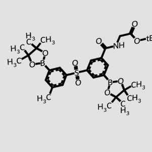 Cc1cc(B2OC(C)(C)C(C)(C)O2)cc(S(=O)(=O)c2cc(B3OC(C)(C)C(C)(C)O3)cc(C(=O)NCC(=O)OC(C)(C)C)c2)c1